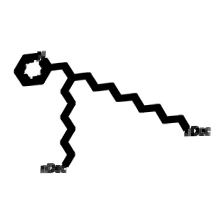 CCCCCCCCCCCCCCCCCCCC(CCCCCCCCCCCCCCCC)Cc1ccccn1